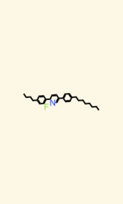 CCCCCCCCc1ccc(-c2ccc(-c3ccc(CCCC)cc3F)nc2)cc1